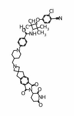 CC1(C)[C@H](NC(=O)c2ccc(N3CCC(CN4CC5(Cc6cc7c(cc6C5)C(=O)N(C5CCC(=O)NC5=O)C7=O)C4)CC3)cc2)C(C)(C)[C@H]1Oc1ccc(C#N)c(Cl)c1